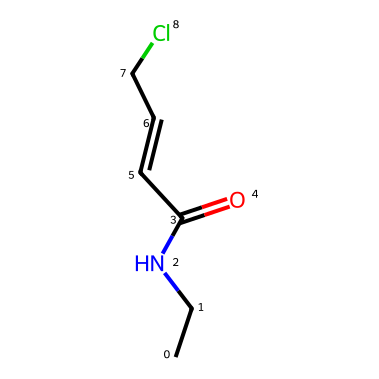 CCNC(=O)/C=C/CCl